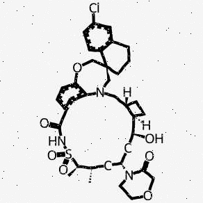 C[C@@H]1[C@@H](C)C[C@@H](N2CCOCC2=O)C[C@H](O)[C@@H]2CC[C@H]2CN2C[C@@]3(CCCc4cc(Cl)ccc43)COc3ccc(cc32)C(=O)NS1(=O)=O